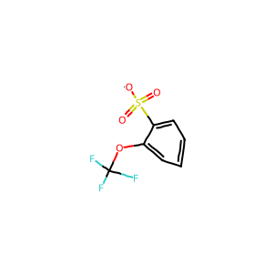 [O]S(=O)(=O)c1ccccc1OC(F)(F)F